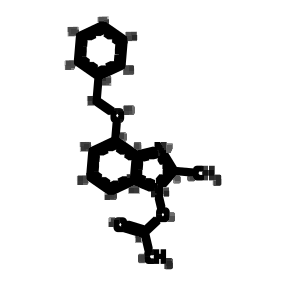 CC(=O)On1c(C)nc2c(OCc3ccccc3)cccc21